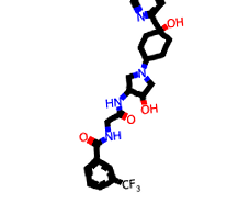 O=C(CNC(=O)c1cccc(C(F)(F)F)c1)NC1CN(C2CCC(O)(c3ccccn3)CC2)CC1O